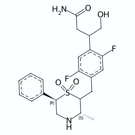 C[C@@H]1NC[C@@H](c2ccccc2)S(=O)(=O)C1Cc1cc(F)c(C(CO)CC(N)=O)cc1F